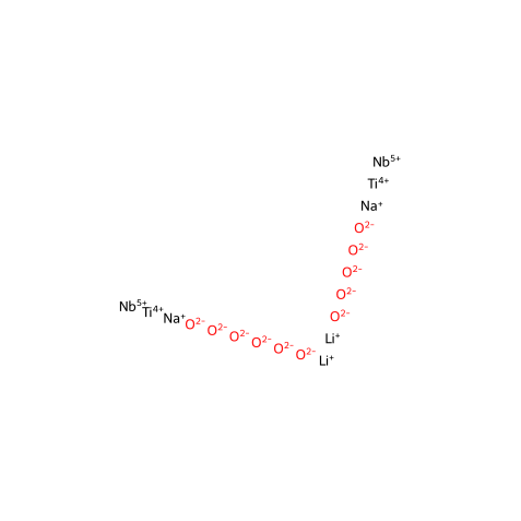 [Li+].[Li+].[Na+].[Na+].[Nb+5].[Nb+5].[O-2].[O-2].[O-2].[O-2].[O-2].[O-2].[O-2].[O-2].[O-2].[O-2].[O-2].[Ti+4].[Ti+4]